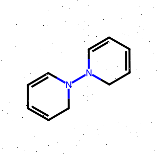 C1=CCN(N2C=CC=CC2)C=C1